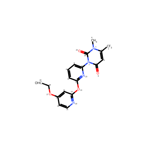 Cn1c(C(F)(F)F)cc(=O)n(-c2cccc(Oc3cc(OCC=O)ccn3)n2)c1=O